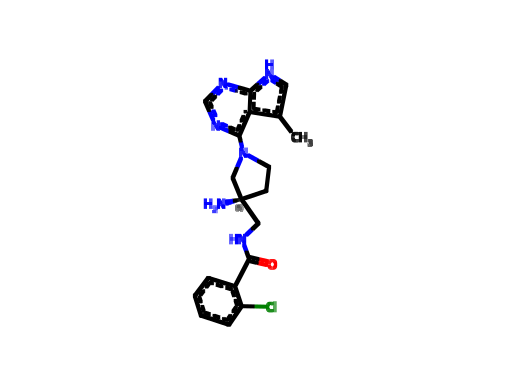 Cc1c[nH]c2ncnc(N3CC[C@](N)(CNC(=O)c4ccccc4Cl)C3)c12